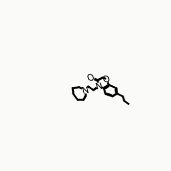 CCCc1ccc2c(c1)OCC(=O)N2CCN1CCCCCC1